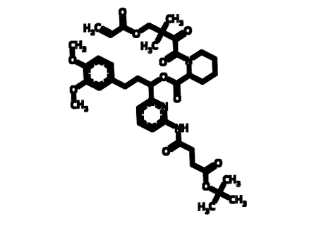 C=CC(=O)OCC(C)(C)C(=O)C(=O)N1CCCCC1C(=O)OC(CCc1ccc(OC)c(OC)c1)c1cccc(NC(=O)CCC(=O)OC(C)(C)C)n1